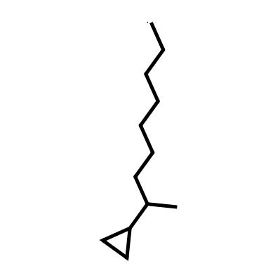 [CH2]CCCCCCC(C)C1CC1